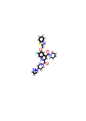 O=C(c1cc(C(=O)N2CCCCC2)c2cc(OCc3nc4ccccc4s3)c(F)cc2n1)N1CCC(n2cccn2)CC1